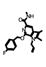 C=CCn1c(C)c(C)c2cc(C(=O)NC)nc(OCc3ccc(F)cc3)c21